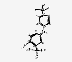 CC(C)(C)c1ccc(Oc2ccc(F)c(C(F)(F)F)c2)nc1